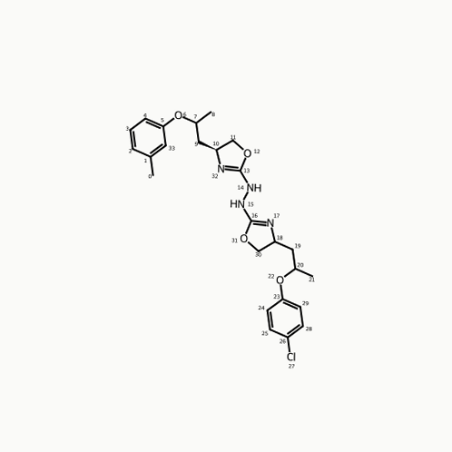 Cc1cccc(OC(C)C[C@H]2COC(NNC3=NC(CC(C)Oc4ccc(Cl)cc4)CO3)=N2)c1